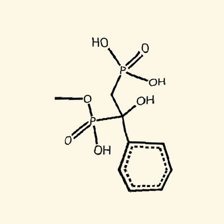 COP(=O)(O)C(O)(CP(=O)(O)O)c1ccccc1